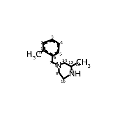 Cc1ccccc1CN1CCNC(C)C1